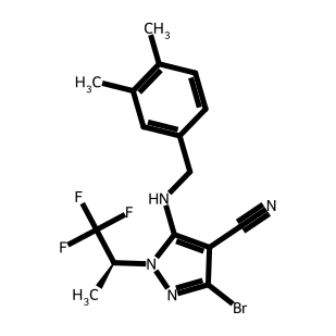 Cc1ccc(CNc2c(C#N)c(Br)nn2[C@@H](C)C(F)(F)F)cc1C